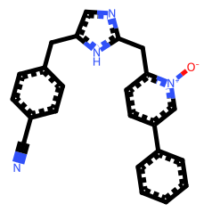 N#Cc1ccc(Cc2cnc(Cc3ccc(-c4ccccc4)c[n+]3[O-])[nH]2)cc1